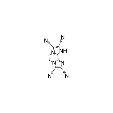 N#CC1=C(C#N)N2CCn3c(nc(C#N)c3C#N)C2N1